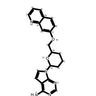 Nc1ncnc2c1ccn2C1CCCC(COc2ccc3cccnc3c2)O1